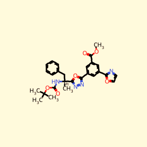 COC(=O)c1cc(-c2ncco2)cc(-c2nnc([C@@](C)(Cc3ccccc3)NC(=O)OC(C)(C)C)o2)c1